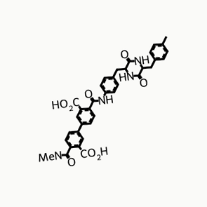 CNC(=O)c1ccc(-c2ccc(C(=O)Nc3ccc(CC4NC(=O)C(Cc5ccc(C)cc5)NC4=O)cc3)c(C(=O)O)c2)cc1C(=O)O